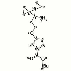 BC1(CCOc2ccn(C(=O)OC(C)(C)C)n2)C2(CC2)C12CC2